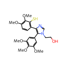 COc1cc(-c2c(-c3ccc(OC)c(OC)c3S)ncn2CCO)cc(OC)c1OC